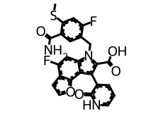 CSc1cc(F)c(Cn2c(C(=O)O)c(-c3ccc[nH]c3=O)c3c4occc4c(F)cc32)cc1C(N)=O